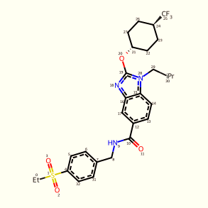 CCS(=O)(=O)c1ccc(CNC(=O)c2ccc3c(c2)nc(O[C@H]2CC[C@H](C(F)(F)F)CC2)n3CC(C)C)cc1